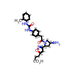 Cc1ccccc1NC(=O)Nc1ccc(CC(=O)N2CC(N)CC2c2cc(CCC(=O)O)on2)cc1